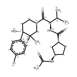 CC(=O)N[C@@H]1CC[C@H](C(=O)N[C@@H](C(=O)N2CC[C@](O)(c3ccc(Cl)cc3)C(C)(C)C2)C(C)C)C1